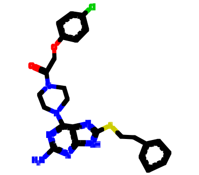 Nc1nc(N2CCN(C(=O)COc3ccc(Cl)cc3)CC2)c2nc(SCCc3ccccc3)[nH]c2n1